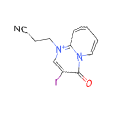 N#CCC[n+]1cc(I)c(=O)n2ccccc21